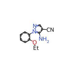 CCOc1ccccc1-n1ncc(C#N)c1N